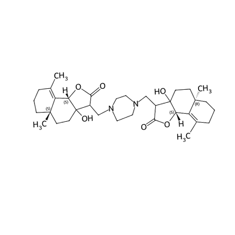 CC1=C2[C@@H]3OC(=O)C(CN4CCN(CC5C(=O)O[C@H]6C7=C(C)CCC[C@]7(C)CCC56O)CC4)C3(O)CC[C@]2(C)CCC1